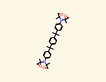 CC(C)(c1ccc(N(C2(C)CO2)C2(C)CO2)cc1)c1ccc(C(C)(C)c2ccc(N(C3(C)CO3)C3(C)CO3)cc2)cc1